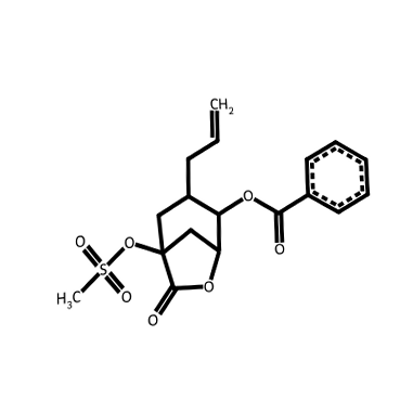 C=CCC1CC2(OS(C)(=O)=O)CC(OC2=O)C1OC(=O)c1ccccc1